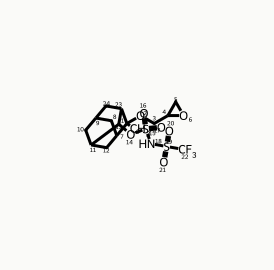 CC1(OCC2CO2)C2CC3CC(C2)C(OS(=O)(=O)NS(=O)(=O)C(F)(F)F)C1C3